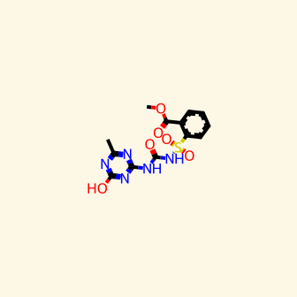 COC(=O)c1ccccc1S(=O)(=O)NC(=O)Nc1nc(C)nc(O)n1